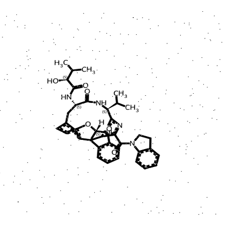 CC(C)[C@H](O)C(=O)N[C@H]1Cc2ccc3c(c2)C2(c4ccccc4N[C@H]2O3)c2oc(nc2C(=O)N2CCc3ccccc32)[C@H](C(C)C)NC1=O